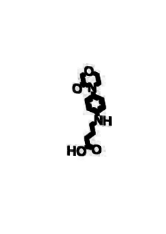 O=C(O)CCCNc1ccc(N2CCOCC2=O)cc1